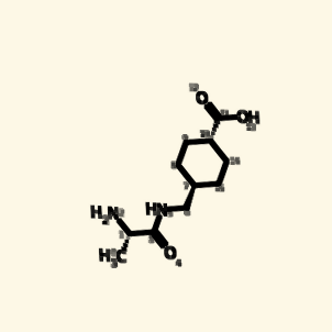 C[C@H](N)C(=O)NC[C@H]1CC[C@H](C(=O)O)CC1